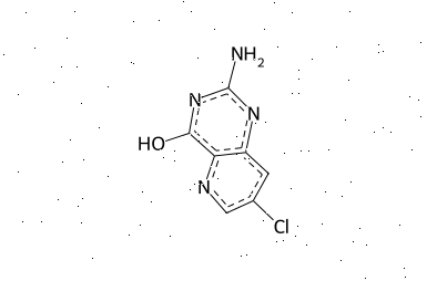 Nc1nc(O)c2ncc(Cl)cc2n1